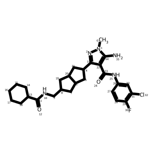 Cn1nc(C2CC3CC(CNC(=O)C4CCCCC4)CC3C2)c(C(=O)Nc2ccc(F)c(Cl)c2)c1N